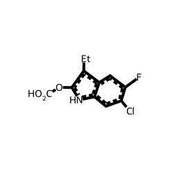 CCc1c(OC(=O)O)[nH]c2cc(Cl)c(F)cc12